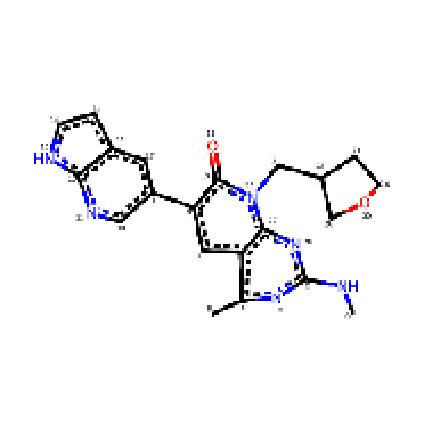 CNc1nc(C)c2cc(-c3cnc4[nH]ccc4c3)c(=O)n(CC3CCOC3)c2n1